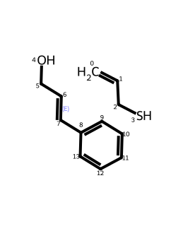 C=CCS.OC/C=C/c1ccccc1